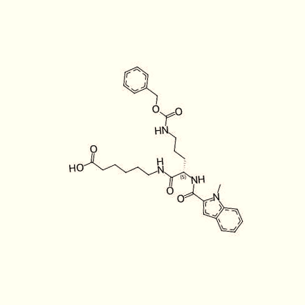 Cn1c(C(=O)N[C@@H](CCCNC(=O)OCc2ccccc2)C(=O)NCCCCCC(=O)O)cc2ccccc21